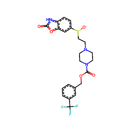 O=C(OCc1cccc(C(F)(F)F)c1)N1CCN(CC[S+]([O-])c2ccc3[nH]c(=O)oc3c2)CC1